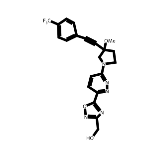 COC1(C#Cc2ccc(C(F)(F)F)cc2)CCN(c2ccc(-c3nc(CO)no3)nn2)C1